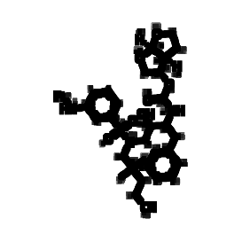 CCNc1cccc(S(=O)(=O)N(CC(O)C(Cc2ccccc2)NC(=O)O[C@H]2CO[C@H]3OCC[C@H]32)CC(C)(C)CCC#N)c1